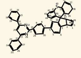 C1=CC2c3ccc(-c4ccc(-c5nc(-c6ccccc6)cc(-c6ccccc6)n5)cc4)cc3C3(C4=C(C=CCC4)Sc4ccccc43)C2C=C1